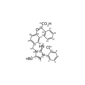 CCCCc1nn(-c2ccccc2Cl)c(=N)n1Cc1ccc(OC(C(=O)O)c2ccccc2)cc1